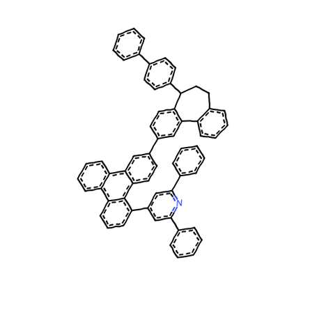 c1ccc(-c2ccc(C3CCc4ccccc4-c4cc(-c5ccc6c(c5)c5ccccc5c5cccc(-c7cc(-c8ccccc8)nc(-c8ccccc8)c7)c56)ccc43)cc2)cc1